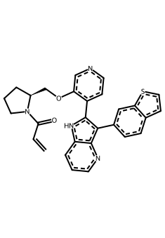 C=CC(=O)N1CCC[C@H]1COc1cnccc1-c1[nH]c2cccnc2c1-c1ccc2ccsc2c1